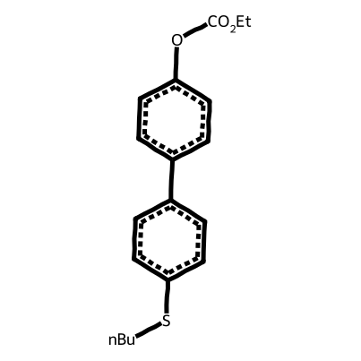 CCCCSc1ccc(-c2ccc(OC(=O)OCC)cc2)cc1